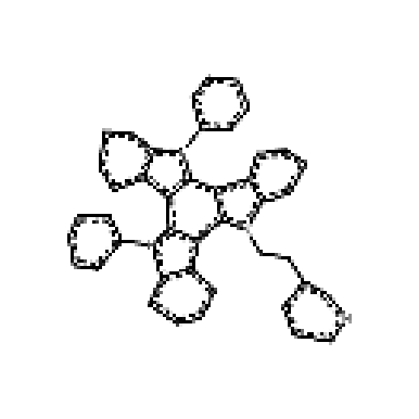 c1ccc(-n2c3ccccc3c3c4c(c5ccccc5n4CCc4cccnc4)c4c(c5ccccc5n4-c4ccccc4)c32)cc1